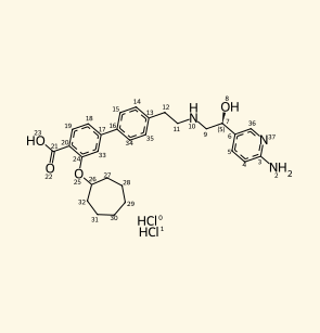 Cl.Cl.Nc1ccc([C@H](O)CNCCc2ccc(-c3ccc(C(=O)O)c(OC4CCCCCC4)c3)cc2)cn1